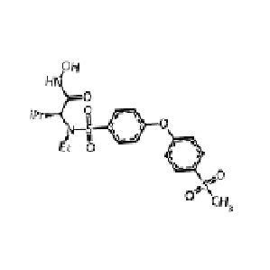 CCN([C@H](C(=O)NO)C(C)C)S(=O)(=O)c1ccc(Oc2ccc(S(C)(=O)=O)cc2)cc1